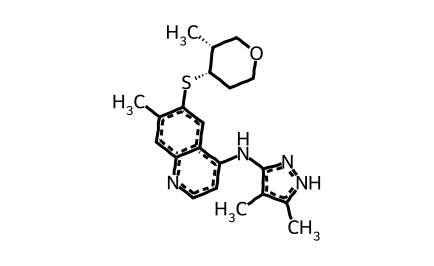 Cc1cc2nccc(Nc3n[nH]c(C)c3C)c2cc1S[C@H]1CCOC[C@H]1C